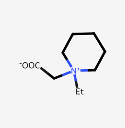 CC[N+]1(CC(=O)[O-])CCCCC1